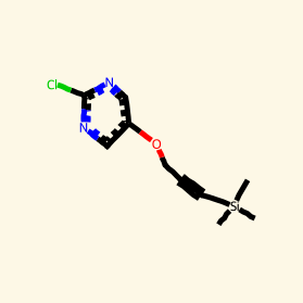 C[Si](C)(C)C#CCOc1cnc(Cl)nc1